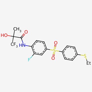 CCSc1ccc(S(=O)(=O)c2ccc(NC(=O)C(C)(O)C(F)(F)F)c(F)c2)cc1